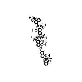 Nc1c(N=Nc2cc3c(O)c(N=Nc4ccc(S(=O)(=O)O)c5ccccc45)c(S(=O)(=O)O)cc3cc2S(=O)(=O)O)c(S(=O)(=O)O)cc2ccc(N=Nc3ccc4c(O)c(N=Nc5ccccc5S(=O)(=O)O)ccc4c3)c(O)c12